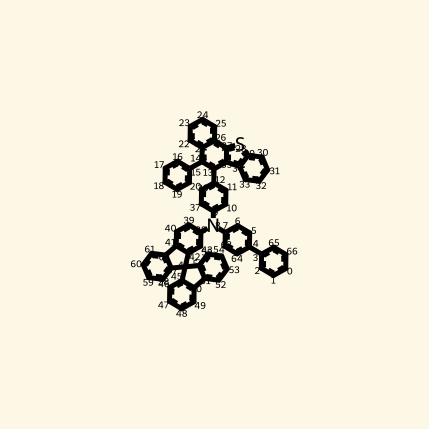 c1ccc(-c2ccc(N(c3ccc(-c4c(-c5ccccc5)c5ccccc5c5sc6ccccc6c45)cc3)c3ccc4c(c3)C3(c5ccccc5-c5ccccc53)c3ccccc3-4)cc2)cc1